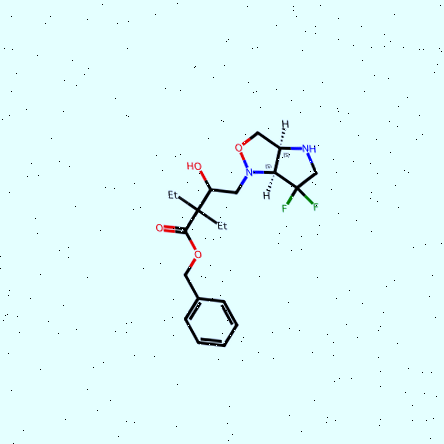 CCC(CC)(C(=O)OCc1ccccc1)C(O)CN1OC[C@H]2NCC(F)(F)[C@H]21